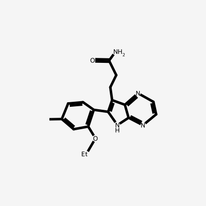 CCOc1cc(C)ccc1-c1[nH]c2nccnc2c1CCC(N)=O